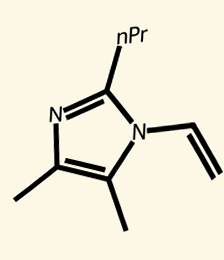 C=Cn1c(CCC)nc(C)c1C